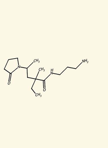 CCC(C)(CC(C)N1CCCC1=O)C(=O)NCCCN